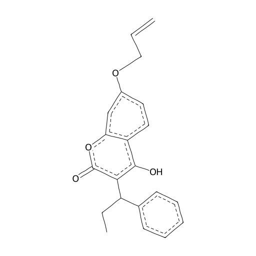 C=CCOc1ccc2c(O)c(C(CC)c3ccccc3)c(=O)oc2c1